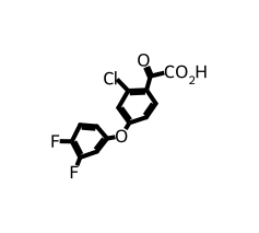 O=C(O)C(=O)c1ccc(Oc2ccc(F)c(F)c2)cc1Cl